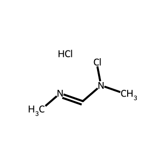 CN=CN(C)Cl.Cl